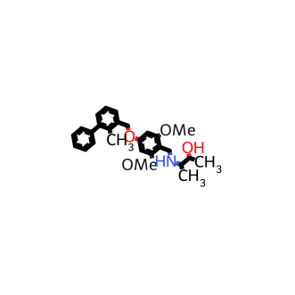 COc1cc(OCc2cccc(-c3ccccc3)c2C)cc(OC)c1CNC(C)C(C)O